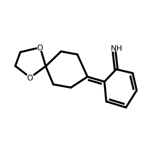 N=C1C=CC=CC1=C1CCC2(CC1)OCCO2